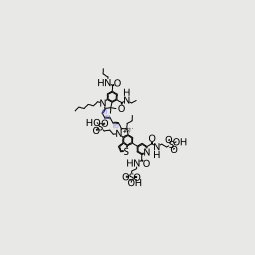 CCCCCCN1/C(=C/C=C/C=C/C2=[N+](CCCS(=O)(=O)O)c3c(cc(-c4cc(C(=O)NCCS(=O)(=O)O)nc(C(=O)NCCS(=O)(=O)O)c4)c4sccc34)[C@]2(C)CCC)C(C)(C)c2c(C(=O)NCC)cc(C(=O)NCCC)cc21